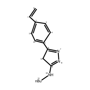 C=Cc1ccc(C2=NN=C(NCCCC)C2)cc1